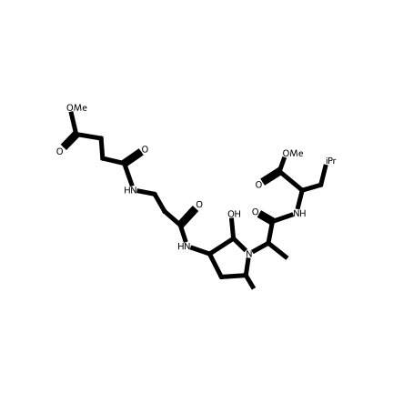 COC(=O)CCC(=O)NCCC(=O)NC1CC(C)N(C(C)C(=O)NC(CC(C)C)C(=O)OC)C1O